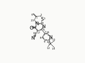 C=C1CSc2nc(-c3ccc(C(C)(C)C)nc3)c(C#N)c(=O)n2C1